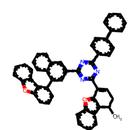 CC1CC=C(c2nc(-c3ccc(-c4ccccc4)cc3)nc(-c3cc(-c4cccc5oc6ccccc6c45)c4ccccc4c3)n2)c2oc3ccccc3c21